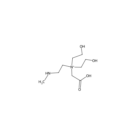 CNCC[N+](CCO)(CCO)CC(=O)O